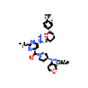 CO[C@@H]1COCC[C@@H]1NC1CCN(C(=O)c2cc(NC[C@H]3CCC[C@@H](c4ccc(C(F)(F)F)cc4)O3)nc(C(F)(F)F)n2)CC1